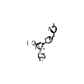 Cc1ccc(CN2CCC(c3cc(O)nc(N4CCOCC4)n3)CC2)cn1